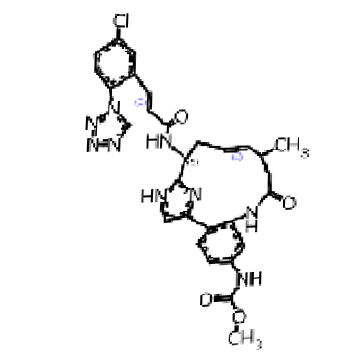 COC(=O)Nc1ccc2c(c1)NC(=O)CC(C)/C=C/C[C@H](NC(=O)/C=C/c1cc(Cl)ccc1-n1cnnn1)c1nc-2c[nH]1